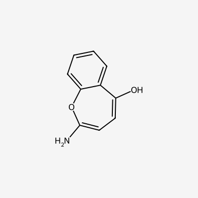 NC1=CC=C(O)c2ccccc2O1